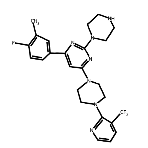 Cc1cc(-c2cc(N3CCN(c4ncccc4C(F)(F)F)CC3)nc(N3CCNCC3)n2)ccc1F